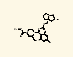 CC(C)(C)OC(=O)N1CCN2c3nc(OC[C@@]45CCCN4C[C@H](F)C5)nc4cc(Br)cc(c34)OCC2C1